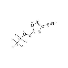 CC(C)(C)[Si](C)(C)OCc1cc(C#N)co1